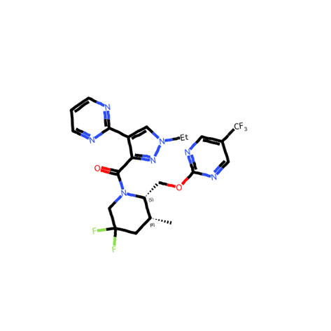 CCn1cc(-c2ncccn2)c(C(=O)N2CC(F)(F)C[C@@H](C)[C@H]2COc2ncc(C(F)(F)F)cn2)n1